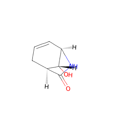 O=C1N[C@@H]2C=CC[C@H]1[C@H]2O